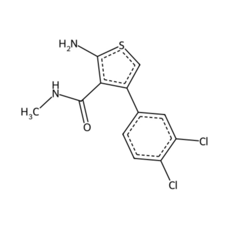 CNC(=O)c1c(-c2ccc(Cl)c(Cl)c2)csc1N